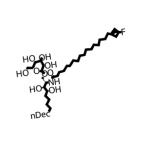 CCCCCCCCCCCCCC[C@@H](O)[C@@H](O)[C@H](COC1OC(CO)C(O)C(O)C1O)NC(=O)CCCCCCCCCCCCCCCCC12CC(F)(C1)C2